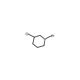 CC(C)N1CCCC(Cl)C1